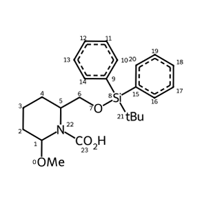 COC1CCCC(CO[Si](c2ccccc2)(c2ccccc2)C(C)(C)C)N1C(=O)O